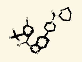 CC(c1ccc(Cl)cc1C(F)(F)F)n1cnc2ccc(C3=CCN(C(=O)[C@H]4CCCCN4)CC3)cc21